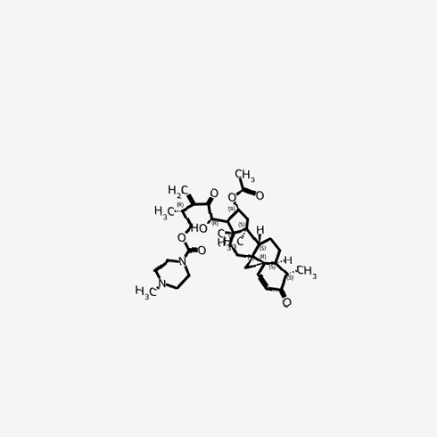 C=C(C(=O)[C@H](O)C1[C@@H](OC(C)=O)C[C@@]2(C)[C@@H]3CC[C@H]4[C@H](C)C(=O)C=C[C@@]45C[C@@]35CC[C@]12C)[C@@H](C)COC(=O)N1CCN(C)CC1